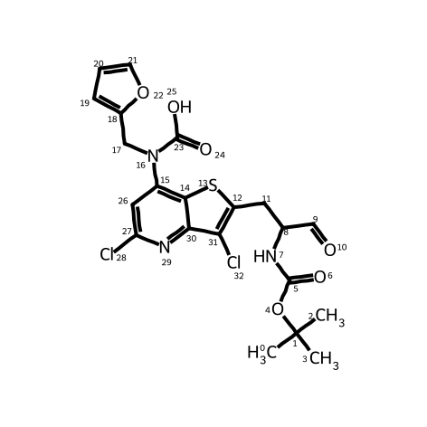 CC(C)(C)OC(=O)NC(C=O)Cc1sc2c(N(Cc3ccco3)C(=O)O)cc(Cl)nc2c1Cl